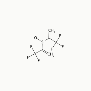 C=C([S+]([O-])C(=C)C(F)(F)F)C(F)(F)F